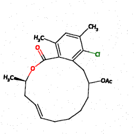 CC(=O)OC1CCCC/C=C/C[C@@H](C)OC(=O)c2c(C)cc(C)c(Cl)c2C1